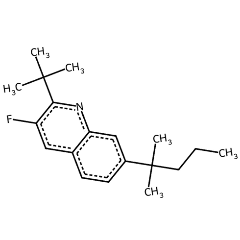 CCCC(C)(C)c1ccc2cc(F)c(C(C)(C)C)nc2c1